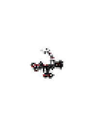 COCCOCCOCCOc1cc([N+](=O)[O-])c([N+](=O)[O-])cc1OCC(=O)NCCC(CNC(=O)OCC1c2ccccc2-c2ccccc21)NC(=O)OCC1c2ccccc2-c2ccccc21